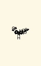 CCOC(=O)Oc1ncc2[nH]c3ccc(P(=O)(CC)CC)cc3c2n1